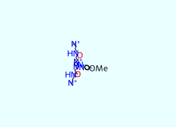 COc1ccc(/N=N/c2n(CCC(=O)NCCC[N+](C)(C)C)cc[n+]2CCC(=O)NCCC[N+](C)(C)C)cc1